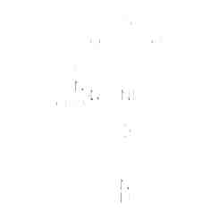 COc1cc2[nH]c(C(OC3CCNCC3)c3ccccc3S(=O)(=O)N(C)C)nc(=O)c2c(OC)c1OC